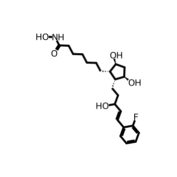 O=C(CCCCCC[C@H]1[C@@H](CCC(O)/C=C/c2ccccc2F)[C@H](O)C[C@@H]1O)NO